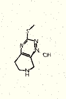 CSc1nnc2c(n1)CCNC2.Cl